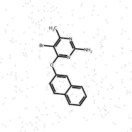 Cc1nc(N)nc(Oc2ccc3ccccc3c2)c1Br